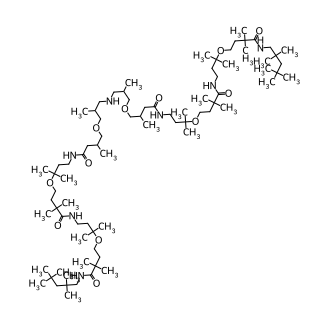 CC(CNCC(C)COCC(C)CC(=O)NCCC(C)(C)OCCC(C)(C)C(=O)NCCC(C)(C)OCCC(C)(C)C(=O)NCC(C)(C)CC(C)(C)C)COCC(C)CC(=O)NCCC(C)(C)OCCC(C)(C)C(=O)NCCC(C)(C)OCCC(C)(C)C(=O)NCC(C)(C)CC(C)(C)C